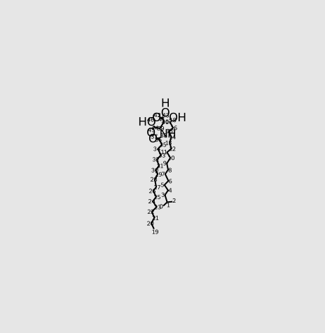 CC(C)CCCCCCCCCCCCCCCO.CCCCCCCCCCCCCCCCCC(=O)NC(CC(=O)O)C(=O)O